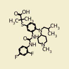 CC(C)CN(c1ccc(SC(C)(C)C(=O)O)cc1NC(=O)Nc1ccc(F)cc1F)C1CCN(C)CC1